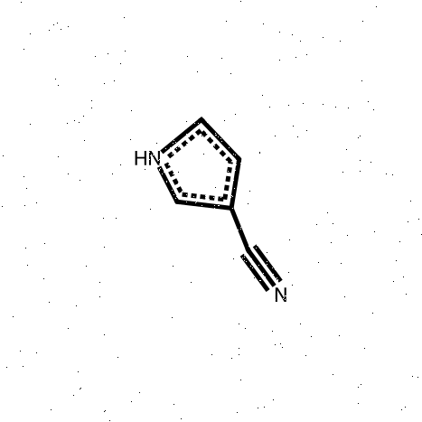 N#Cc1cc[nH]c1